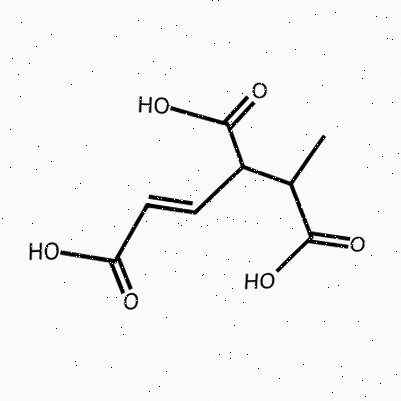 CC(C(=O)O)C(C=CC(=O)O)C(=O)O